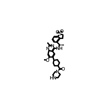 COc1cc2nc(C)nc(N[C@H](C)c3cccc4c3CCS4(=O)=O)c2cc1C1CCC(C(=O)N2CCNCC2)CC1